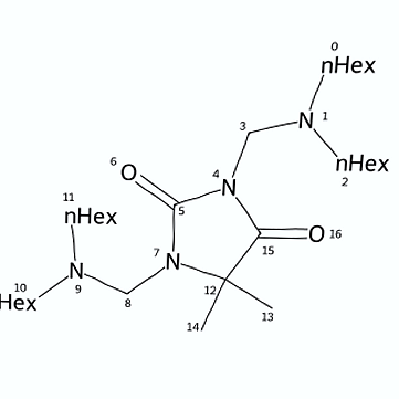 CCCCCCN(CCCCCC)CN1C(=O)N(CN(CCCCCC)CCCCCC)C(C)(C)C1=O